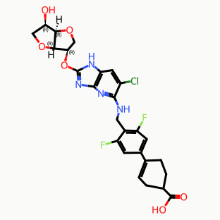 O=C(O)C1CC=C(c2cc(F)c(CNc3nc4nc(O[C@@H]5CO[C@H]6[C@@H]5OC[C@H]6O)[nH]c4cc3Cl)c(F)c2)CC1